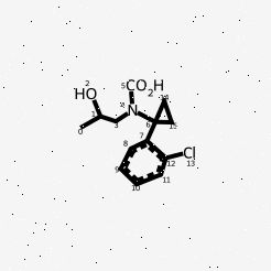 CC(O)CN(C(=O)O)C1(c2ccccc2Cl)CC1